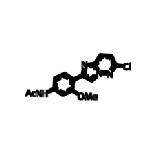 COc1cc(NC(C)=O)ccc1-c1cn2nc(Cl)ccc2n1